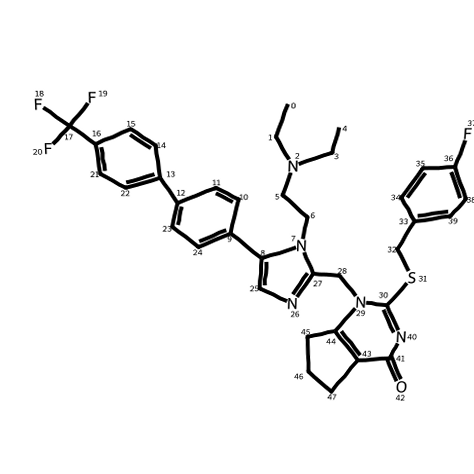 CCN(CC)CCn1c(-c2ccc(-c3ccc(C(F)(F)F)cc3)cc2)cnc1Cn1c(SCc2ccc(F)cc2)nc(=O)c2c1CCC2